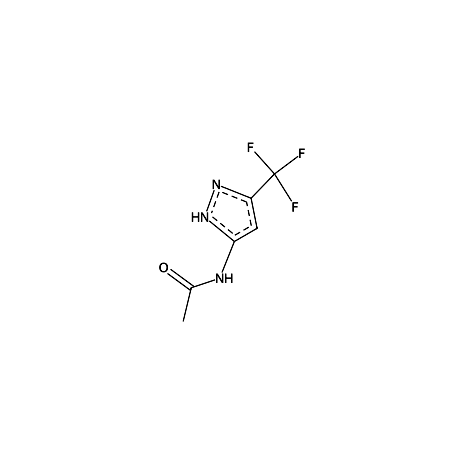 CC(=O)Nc1cc(C(F)(F)F)n[nH]1